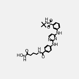 CC(C)(C)NS(=O)(=O)c1cccc(Nc2ccnc(Nc3ccc(C(=O)NCCCC(=O)NO)cc3)n2)c1